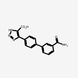 NC(=O)c1cccc(-c2ccc(-c3nn[nH]c3C(=O)O)cc2)c1